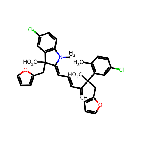 C=C(/C=C/C=C1\N(C)c2ccc(Cl)cc2C1(Cc1ccco1)C(=O)O)C(Cc1ccco1)(C(=O)O)c1cc(Cl)ccc1C